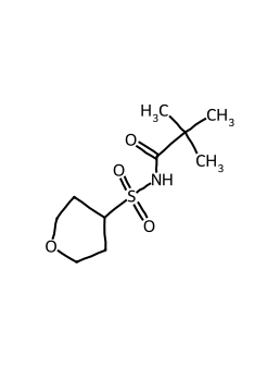 CC(C)(C)C(=O)NS(=O)(=O)C1CCOCC1